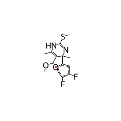 COC(=O)C1=C(C)NC(SC)=NC1(C)c1ccc(F)c(F)c1